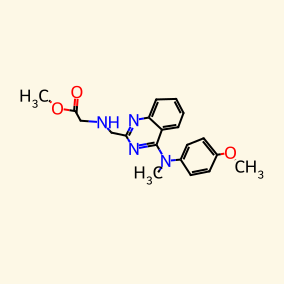 COC(=O)CNCc1nc(N(C)c2ccc(OC)cc2)c2ccccc2n1